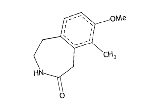 COc1ccc2c(c1C)CC(=O)NCC2